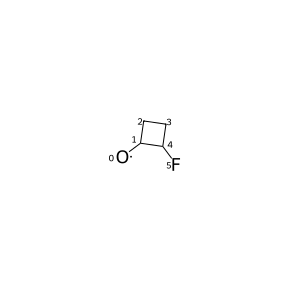 [O]C1CCC1F